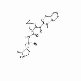 N#C[C@H](C[C@@H]1CCNC1=O)NC(=O)[C@@H]1CC2(CC2)CN1C(=O)C(=O)Nc1ccccc1F